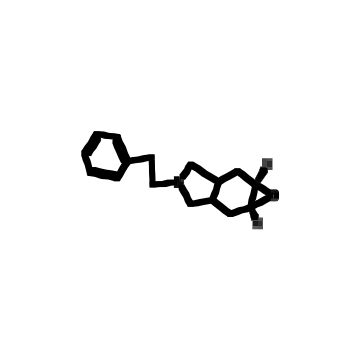 c1ccc(CCN2CC3C[C@@H]4O[C@@H]4CC3C2)cc1